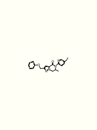 CC1Cn2nc(COc3ccccc3)cc2C(=O)N1c1ccc(F)cn1